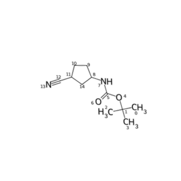 CC(C)(C)OC(=O)NC1CCC(C#N)C1